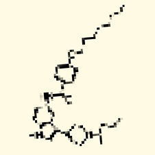 CCCCCCCCOc1ccc(C(=O)Nc2ccc3[nH]cc(C4=CCN(C(C)CCC)CC4)c3c2)cc1